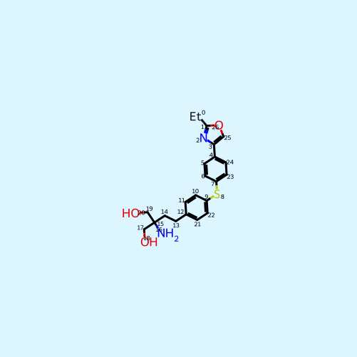 CCc1nc(-c2ccc(Sc3ccc(CCC(N)(CO)CO)cc3)cc2)co1